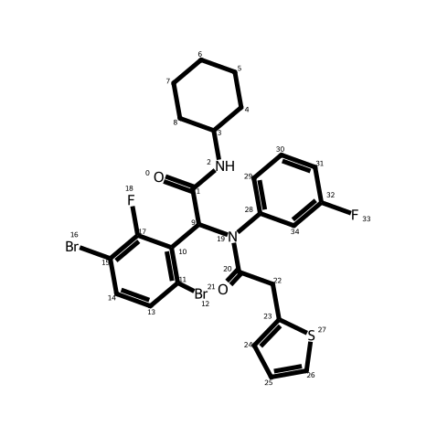 O=C(NC1CCCCC1)C(c1c(Br)ccc(Br)c1F)N(C(=O)Cc1cccs1)c1cccc(F)c1